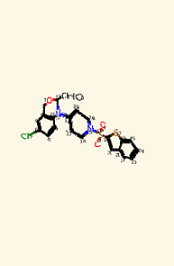 O=CC1OCc2cc(Cl)ccc2N1C1CCN(S(=O)(=O)c2cc3ccccc3s2)CC1